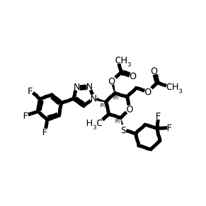 CC(=O)OCC1O[C@H](SC2CCCC(F)(F)C2)C(C)[C@@H](n2cc(-c3cc(F)c(F)c(F)c3)nn2)[C@H]1OC(C)=O